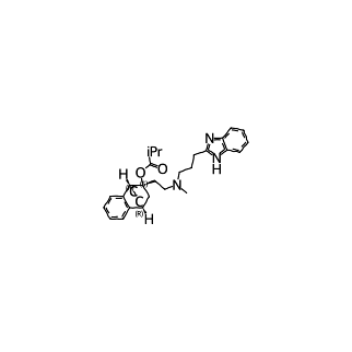 CC(C)C(=O)O[C@]1(CCN(C)CCCc2nc3ccccc3[nH]2)C[C@H]2CC[C@@H]1c1ccccc12